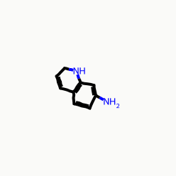 Nc1ccc2c(c1)NCC=C2